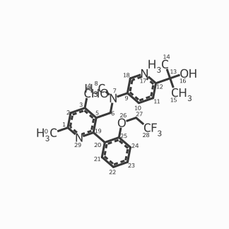 Cc1cc(C=O)c(CN(C)c2ccc(C(C)(C)O)nc2)c(-c2ccccc2OCC(F)(F)F)n1